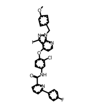 COc1ccc(Cn2nc(I)c3c(Oc4ccc(NC(=O)c5cccc(-c6ccc(F)cc6)n5)cc4Cl)ccnc32)cc1